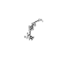 C\C=C(F)/C(=C\C=C\OC(F)(F)c1c(F)cc(C2OCC(CCCCC)CO2)cc1F)c1cc(F)c(F)c(F)c1